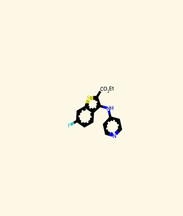 CCOC(=O)c1sc2cc(F)ccc2c1Nc1ccncc1